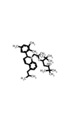 Cc1cc(C)c(C)c(C2C=Cc3c(CC(C)C)cccc3N2C[C@@H](C)OC(CC(O)C(C)(C)C)C(C)(C)C)c1